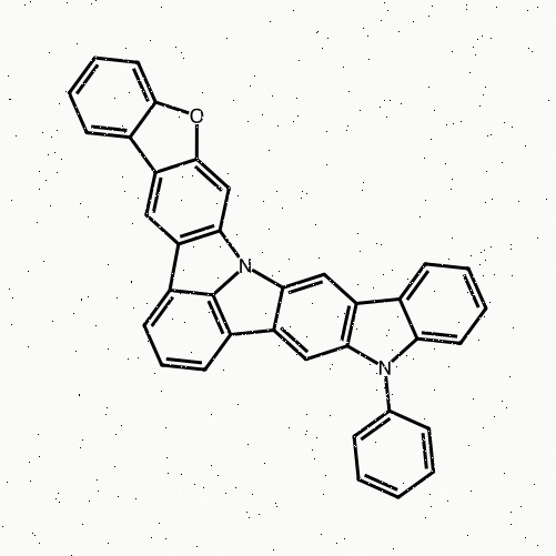 c1ccc(-n2c3ccccc3c3cc4c(cc32)c2cccc3c5cc6c(cc5n4c32)oc2ccccc26)cc1